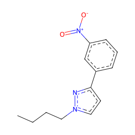 CCCCn1ccc(-c2cccc([N+](=O)[O-])c2)n1